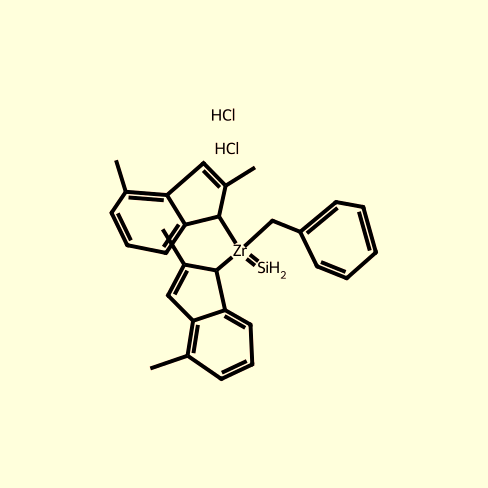 CC1=Cc2c(C)cccc2[CH]1[Zr](=[SiH2])([CH2]c1ccccc1)[CH]1C(C)=Cc2c(C)cccc21.Cl.Cl